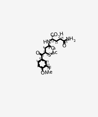 COc1ccc(C(=O)C(CC(=O)N[C@@H](CCC(N)=O)C(=O)O)SC(C)=O)cc1F